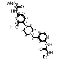 CCNC(=O)Nc1cc(CN2CCN(c3ccc(NC(=O)NC)nc3C)CC2)ccn1